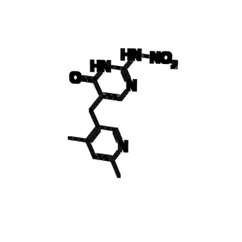 Cc1cc(C)c(Cc2cnc(N[N+](=O)[O-])[nH]c2=O)cn1